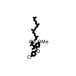 COc1ccc2c(c1)c(C(C)C(=O)OCC=C(C)CCC=C(C)CCC=C(C)CCC=C(C)C)c(C)n2C(=O)c1ccc(Cl)cc1